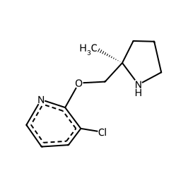 C[C@]1(COc2ncccc2Cl)CCCN1